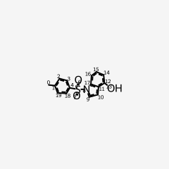 Cc1ccc(S(=O)(=O)n2ccc3c(O)cccc32)cc1